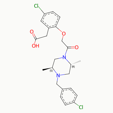 C[C@@H]1CN(Cc2ccc(Cl)cc2)[C@@H](C)CN1C(=O)COc1ccc(Cl)cc1CC(=O)O